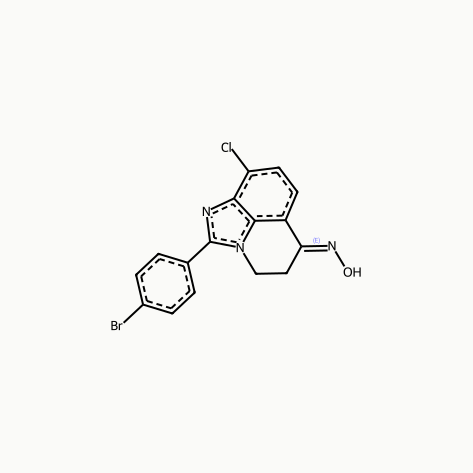 O/N=C1\CCn2c(-c3ccc(Br)cc3)nc3c(Cl)ccc1c32